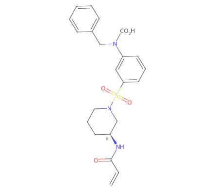 C=CC(=O)N[C@H]1CCCN(S(=O)(=O)c2cccc(N(Cc3ccccc3)C(=O)O)c2)C1